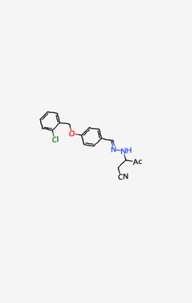 CC(=O)C(CC#N)NN=Cc1ccc(OCc2ccccc2Cl)cc1